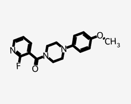 COc1ccc(N2CCN(C(=O)c3cccnc3F)CC2)cc1